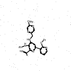 CCOc1ncccc1-c1cc(NCc2cnc(OC)cn2)c(NC(C)C)c(C(C)=N)n1